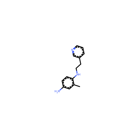 Cc1cc(N)ccc1NCCc1cccnc1